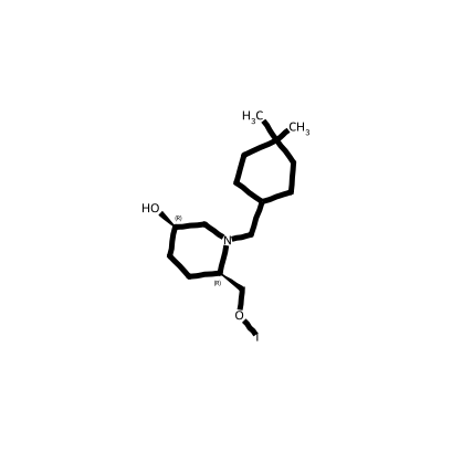 CC1(C)CCC(CN2C[C@H](O)CC[C@@H]2COI)CC1